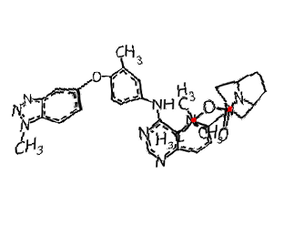 Cc1cc(Nc2ncnc3ccc(N4CC5CCC(C4)N5C(=O)OC(C)(C)C)nc23)ccc1Oc1ccc2c(c1)nnn2C